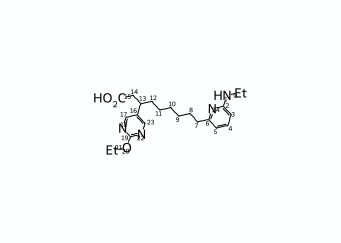 CCNc1cccc(CCCCCCC(CC(=O)O)c2cnc(OCC)nc2)n1